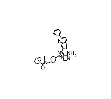 Nc1nccn2c(C3CCC(CNC(=O)C4CCCO4)CC3)nc(-c3ccc4ccc(-c5ccccc5)nc4c3)c12